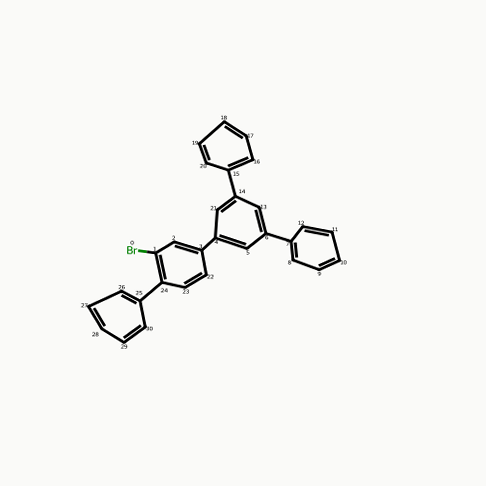 Brc1cc(-c2cc(-c3ccccc3)cc(-c3ccccc3)c2)ccc1-c1ccccc1